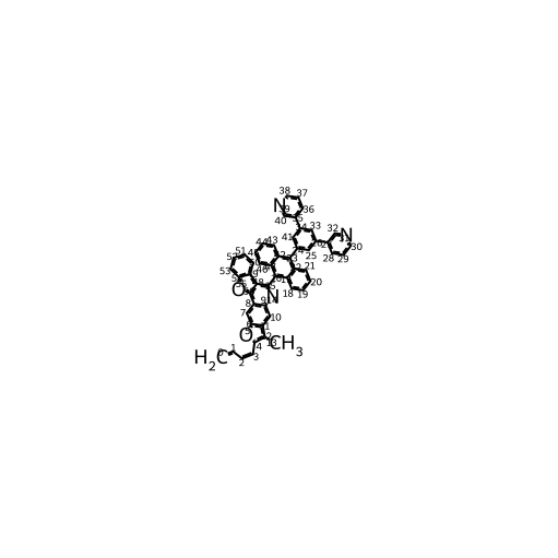 C=C/C=C\c1oc2cc3c(cc2c1C)nc(-c1c2ccccc2c(-c2cc(-c4cccnc4)cc(-c4cccnc4)c2)c2ccccc12)c1c2ccccc2oc31